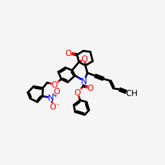 C#CC=CC#CC1N(C(=O)Oc2ccccc2)c2cc(OCc3ccccc3[N+](=O)[O-])ccc2C23OC12CCCC3=O